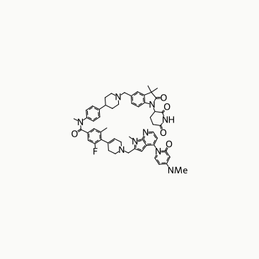 CNc1ccn(-c2ccnc3c2cc(CN2CC=C(c4c(C)cc(C(=O)N(C)c5ccc(C6CCN(Cc7ccc8c(c7)C(C)(C)C(=O)N8C7CCC(=O)NC7=O)CC6)cc5)cc4F)CC2)n3C)c(=O)c1